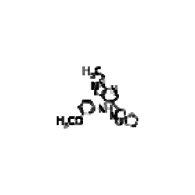 CCn1ncc2c(Nc3cccc(OC)c3)c(C3=NOC4(CCCC4)C3)cnc21